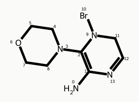 NC1=C(N2CCOCC2)N(Br)CC=N1